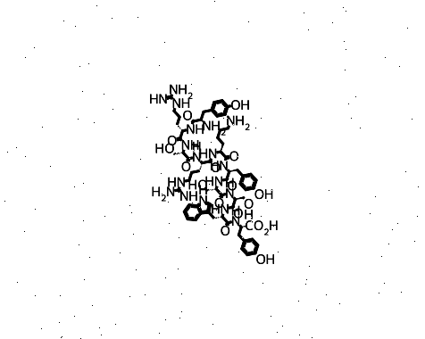 N=C(N)NCCC[C@H](NC(=O)[C@H](CO)NC(=O)[C@H](CCCNC(=N)N)NC(=O)[C@@H](N)Cc1ccc(O)cc1)C(=O)N[C@@H](CCCCN)C(=O)N[C@@H](Cc1ccc(O)cc1)C(=O)N[C@@H](CO)C(=O)N[C@@H](CO)C(=O)N[C@@H](Cc1c[nH]c2ccccc12)C(=O)N[C@@H](Cc1ccc(O)cc1)C(=O)O